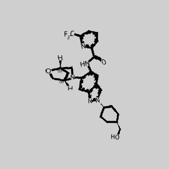 O=C(Nc1cc2cn([C@H]3CC[C@H](CO)CC3)nc2cc1N1C[C@@H]2C[C@H]1CO2)c1cccc(C(F)(F)F)n1